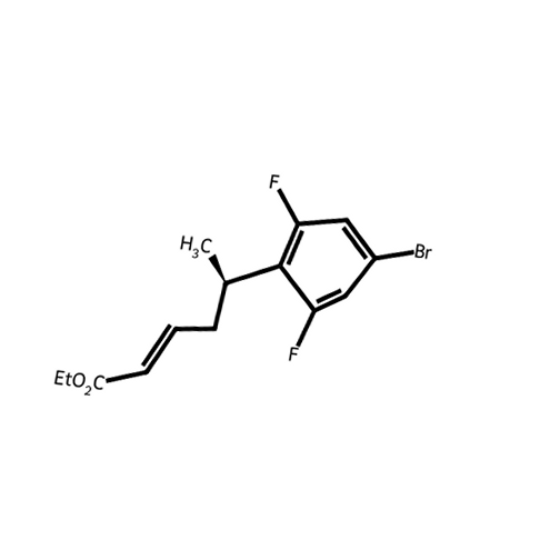 CCOC(=O)/C=C/C[C@@H](C)c1c(F)cc(Br)cc1F